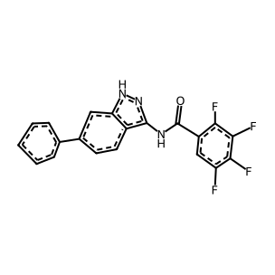 O=C(Nc1n[nH]c2cc(-c3ccccc3)ccc12)c1cc(F)c(F)c(F)c1F